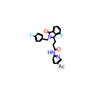 CC(=O)c1ccc(NC(=O)CCC2c3c(F)cccc3C(=O)N2Cc2ccc(F)cc2)nc1